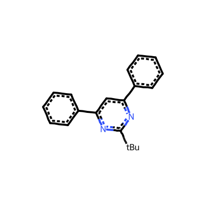 CC(C)(C)c1nc(-c2ccccc2)cc(-c2ccccc2)n1